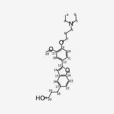 CCN(CC)CCCOc1ccc(-c2cc3cc(CCCO)ccc3o2)cc1OC